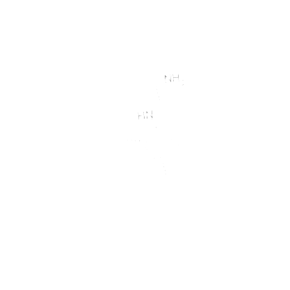 Cc1c(C)c(C)c(NCCN)c(C)c1C